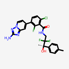 Cc1ccc([C@@](C)(O)C(F)(F)CNC(=O)c2c(Cl)ccc(-c3ccn4nc(N)nc4c3)c2F)cc1